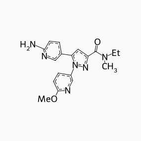 CCN(C)C(=O)c1cc(-c2ccc(N)nc2)n(-c2ccc(OC)nc2)n1